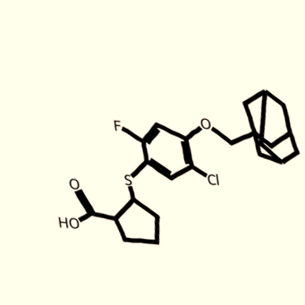 O=C(O)C1CCCC1Sc1cc(Cl)c(OCC23CC4CC(CC(C4)C2)C3)cc1F